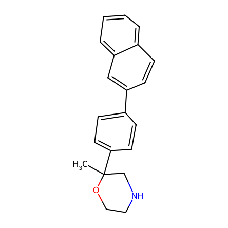 CC1(c2ccc(-c3ccc4ccccc4c3)cc2)CNCCO1